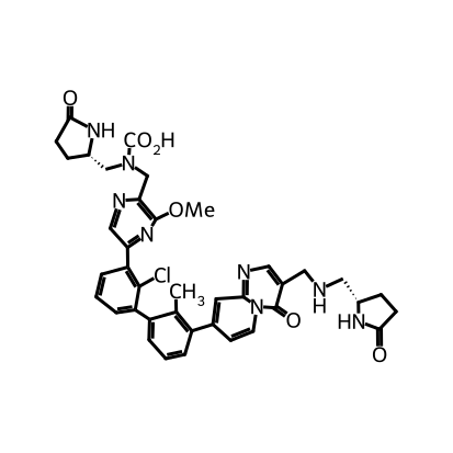 COc1nc(-c2cccc(-c3cccc(-c4ccn5c(=O)c(CNC[C@@H]6CCC(=O)N6)cnc5c4)c3C)c2Cl)cnc1CN(C[C@@H]1CCC(=O)N1)C(=O)O